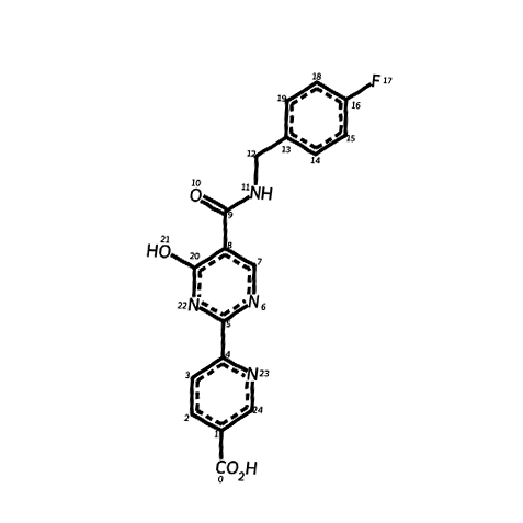 O=C(O)c1ccc(-c2ncc(C(=O)NCc3ccc(F)cc3)c(O)n2)nc1